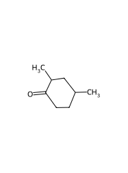 CC1CCC(=O)C(C)C1